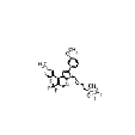 COc1cccc(-c2cc3c(-c4cnn(C)c4)c(C(F)(F)F)cnc3n2COCC[Si](C)(C)C)c1